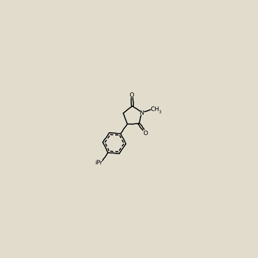 CC(C)c1ccc(C2CC(=O)N(C)C2=O)cc1